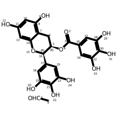 CC=O.O=C(O[C@@H]1Cc2c(O)cc(O)cc2O[C@@H]1c1cc(O)c(O)c(O)c1)c1cc(O)c(O)c(O)c1